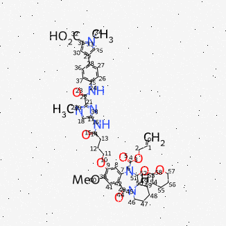 C=CCOC(=O)N1c2cc(OCCCC(=O)Nc3cn(C)c(C(=O)Nc4ccc(-c5cc(C(=O)O)n(C)c5)cc4)n3)c(OC)cc2C(=O)N2CCCC[C@H]2C1OC1CCCCO1